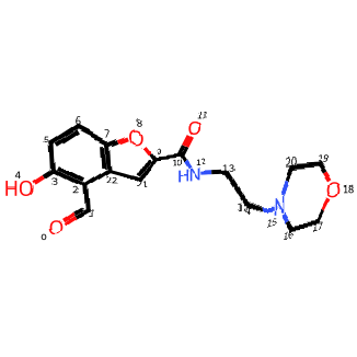 O=Cc1c(O)ccc2oc(C(=O)NCCN3CCOCC3)cc12